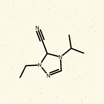 CCN1N=CN(C(C)C)C1C#N